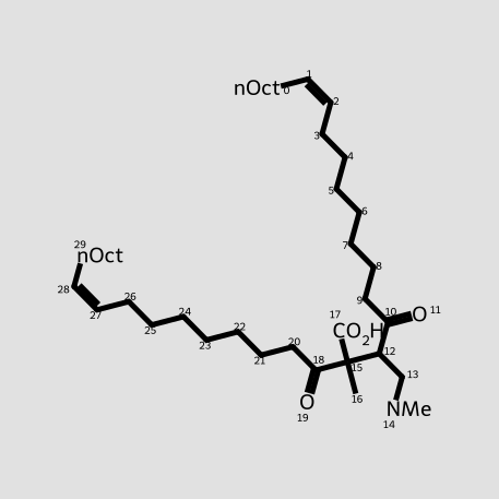 CCCCCCCC/C=C\CCCCCCCC(=O)C(CNC)C(C)(C(=O)O)C(=O)CCCCCCC/C=C\CCCCCCCC